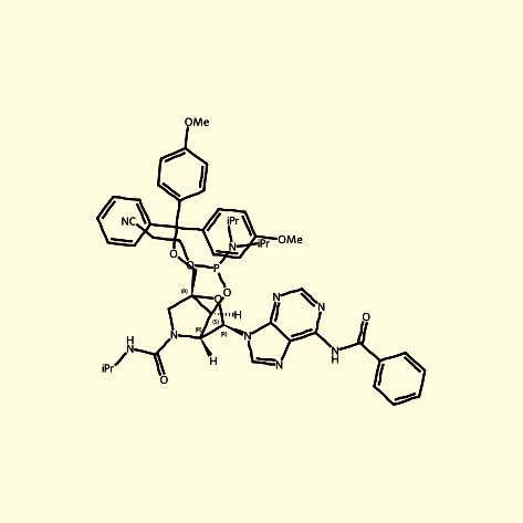 COc1ccc(C(OC[C@@]23CN(C(=O)NC(C)C)[C@@H]([C@H](n4cnc5c(NC(=O)c6ccccc6)ncnc54)O2)[C@@H]3OP(OCCC#N)N(C(C)C)C(C)C)(c2ccccc2)c2ccc(OC)cc2)cc1